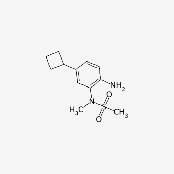 CN(c1cc(C2CCC2)ccc1N)S(C)(=O)=O